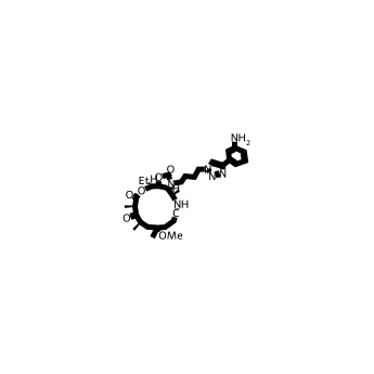 CC[C@H]1OC(=O)[C@H](C)C(=O)[C@H](C)C[C@](C)(OC)CCCN[C@H](C)[C@@H]2[C@@H]1OC(=O)N2CCCCn1cc(-c2cccc(N)c2)nn1